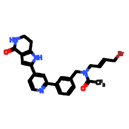 O=C1NCCc2[nH]c(-c3ccnc(-c4cccc(CN(C/C=C/CBr)C(=O)C(F)(F)F)c4)c3)cc21